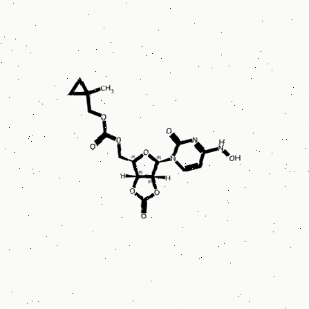 CC1(COC(=O)OC[C@H]2O[C@@H](n3ccc(NO)nc3=O)[C@@H]3OC(=O)O[C@@H]32)CC1